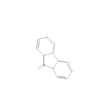 O=C1C2C=CC=CC2C2C=CC=CC12